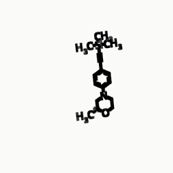 C[C@@H]1CN(c2ccc(C#C[Si](C)(C)C)cc2)CCO1